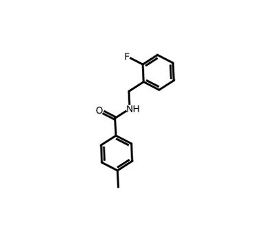 Cc1ccc(C(=O)NCc2ccccc2F)cc1